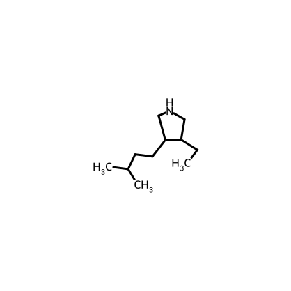 CCC1CNCC1CCC(C)C